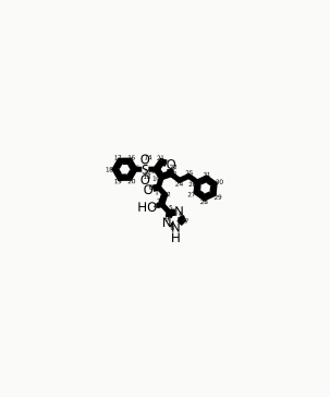 O=C(C=C(O)c1nc[nH]n1)c1c(S(=O)(=O)c2ccccc2)coc1CCc1ccccc1